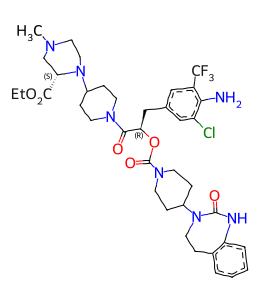 CCOC(=O)[C@@H]1CN(C)CCN1C1CCN(C(=O)[C@@H](Cc2cc(Cl)c(N)c(C(F)(F)F)c2)OC(=O)N2CCC(N3CCc4ccccc4NC3=O)CC2)CC1